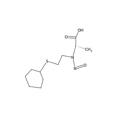 C[C@@H](C(=O)O)N(CCSC1CCCCC1)N=O